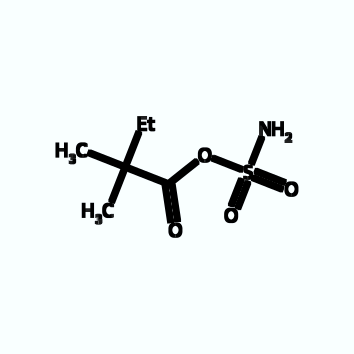 CCC(C)(C)C(=O)OS(N)(=O)=O